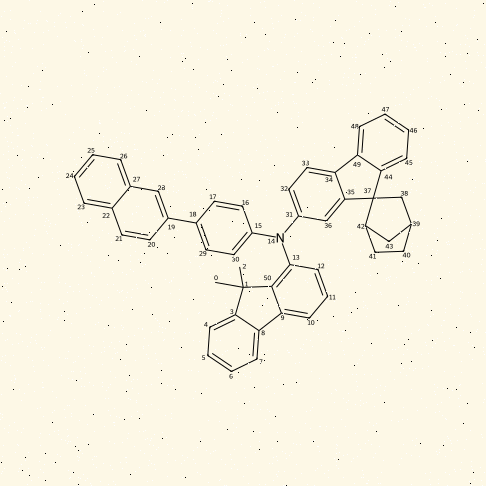 CC1(C)c2ccccc2-c2cccc(N(c3ccc(-c4ccc5ccccc5c4)cc3)c3ccc4c(c3)C3(CC5CCC3C5)c3ccccc3-4)c21